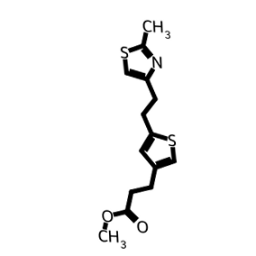 COC(=O)CCc1csc(CCc2csc(C)n2)c1